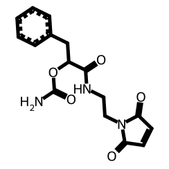 NC(=O)OC(Cc1ccccc1)C(=O)NCCN1C(=O)C=CC1=O